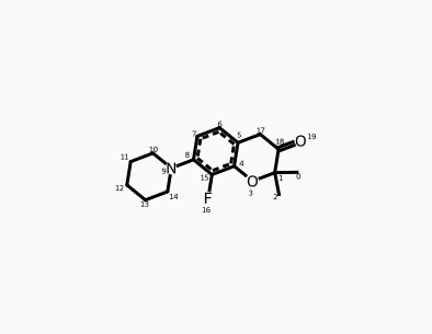 CC1(C)Oc2c(ccc(N3CCCCC3)c2F)CC1=O